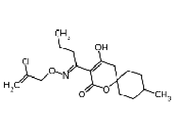 C=C(Cl)CON=C(CCC)C1=C(O)CC2(CCC(C)CC2)OC1=O